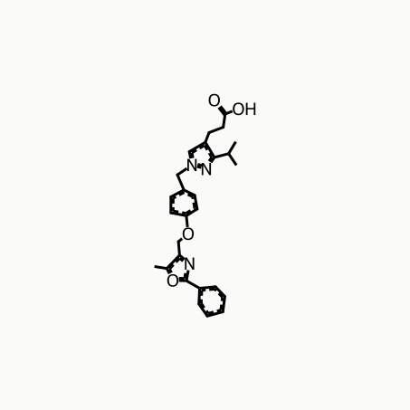 Cc1oc(-c2ccccc2)nc1COc1ccc(Cn2cc(CCC(=O)O)c(C(C)C)n2)cc1